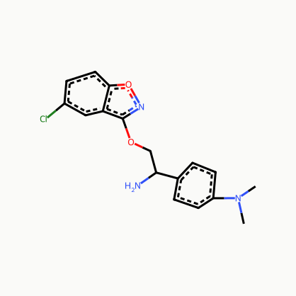 CN(C)c1ccc(C(N)COc2noc3ccc(Cl)cc23)cc1